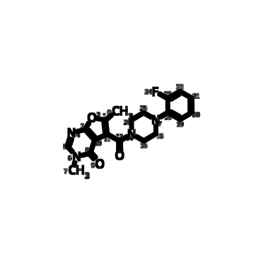 Cc1oc2ncn(C)c(=O)c2c1C(=O)N1CCN(c2ccccc2F)CC1